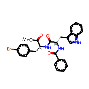 COC(=O)[C@@H](Cc1ccc(Br)cc1)NC(=O)[C@H](Cc1c[nH]c2ccccc12)NC(=O)c1ccccc1